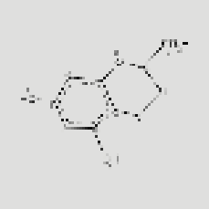 O=C(O)C1CCc2c(O)cc(O)cc2O1